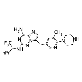 CCC[C@H](Nc1nc(N)c2ncc(Cc3cnc(N4CCNCC4)c(C)c3)n2n1)C(F)(F)F